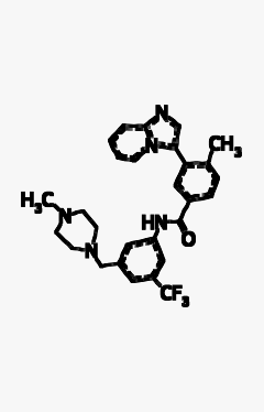 Cc1ccc(C(=O)Nc2cc(CN3CCN(C)CC3)cc(C(F)(F)F)c2)cc1-c1cnc2ccccn12